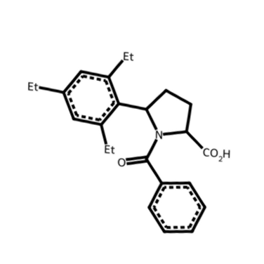 CCc1cc(CC)c(C2CCC(C(=O)O)N2C(=O)c2ccccc2)c(CC)c1